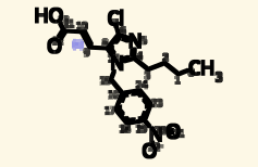 CCCCc1nc(Cl)c(/C=C/C(=O)O)n1Cc1ccc([N+](=O)[O-])cc1